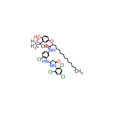 CCCCCCCCCCCCC(Oc1ccc(O)c(C(C)(C)C)c1)C(=O)Nc1ccc(Cl)c(NC2=NN(c3c(Cl)cc(Cl)cc3Cl)C(=O)C2)c1